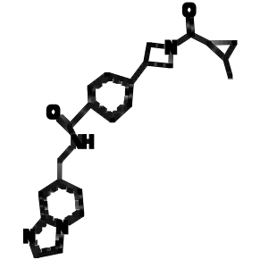 CC1CC1C(=O)N1CC(c2ccc(C(=O)NCc3ccn4ccnc4c3)cc2)C1